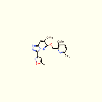 COc1ccc(C(F)(F)F)nc1COc1nn2c(-c3cc(C)on3)nnc2cc1OC